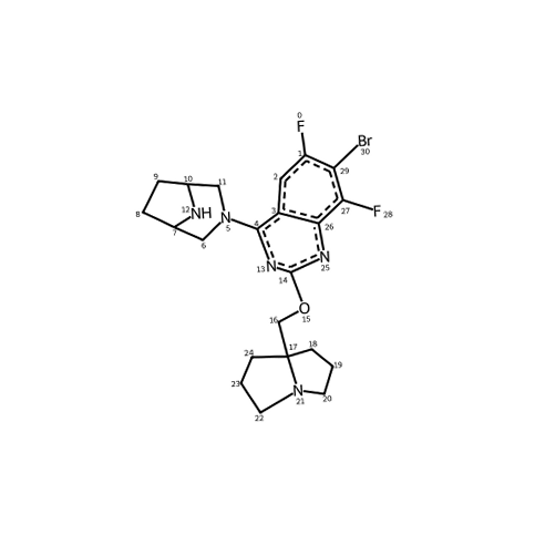 Fc1cc2c(N3CC4CCC(C3)N4)nc(OCC34CCCN3CCC4)nc2c(F)c1Br